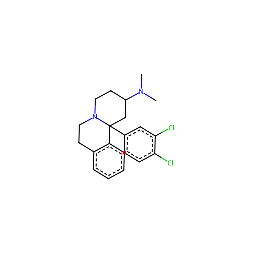 CN(C)C1CCN2CCc3ccccc3C2(c2ccc(Cl)c(Cl)c2)C1